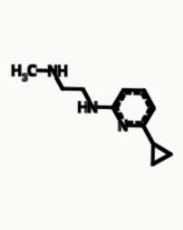 CNCCNc1cccc(C2CC2)n1